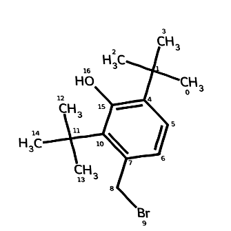 CC(C)(C)c1ccc(CBr)c(C(C)(C)C)c1O